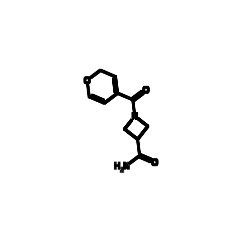 NC(=O)C1CN(C(=O)C2=CCOC=C2)C1